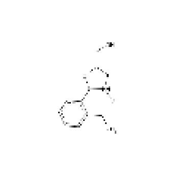 CCc1ccccc1C1OC(CO)C[NH+]1[O-]